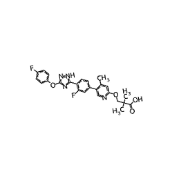 Cc1cc(OCC(C)(C)C(=O)O)ncc1-c1ccc(-c2nc(Oc3ccc(F)cc3)n[nH]2)c(F)c1